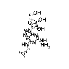 NNc1nc(NCC2CC2)c2ncn([C@@H]3O[C@H](CO)[C@H](O)[C@@H]3O)c2n1